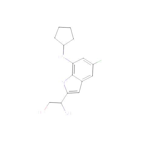 NC(CO)c1cc2cc(Cl)cc(NC3CCCC3)c2[nH]1